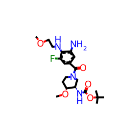 COCCNc1c(N)cc(C(=O)N2CC[C@@H](OC)[C@@H](NC(=O)OC(C)(C)C)C2)cc1F